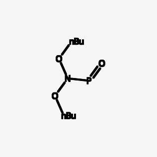 CCCCON(OCCCC)P=O